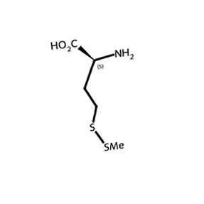 CSSCC[C@H](N)C(=O)O